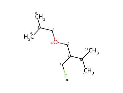 CC(C)COCC(CF)C(C)C